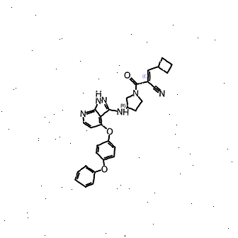 N#C/C(=C\C1CCC1)C(=O)N1CC[C@@H](Nc2n[nH]c3nccc(Oc4ccc(Oc5ccccc5)cc4)c23)C1